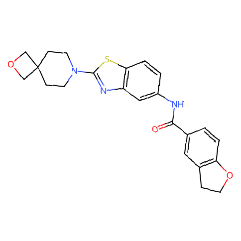 O=C(Nc1ccc2sc(N3CCC4(CC3)COC4)nc2c1)c1ccc2c(c1)CCO2